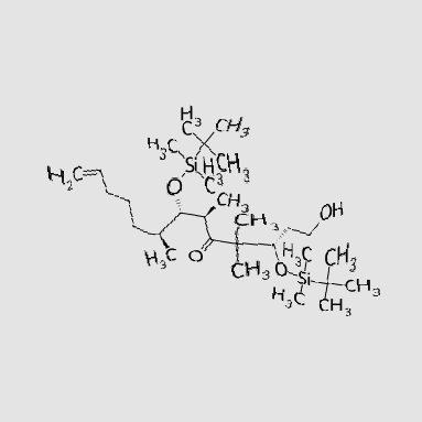 C=CCCC[C@H](C)[C@H](O[Si](C)(C)C(C)(C)C)[C@@H](C)C(=O)C(C)(C)[C@H](CCO)O[Si](C)(C)C(C)(C)C